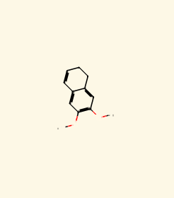 CCCOc1cc2c(cc1OCCC)CC[C]=C2